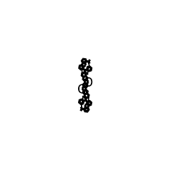 CC(C)c1cccc2c1oc1c(N(c3ccccc3)c3ccc4cc5c(cc4c3)oc3cc4c(cc35)oc3cc5cc(N(c6ccccc6)c6cccc7c6oc6c(C(C)C)cccc67)ccc5cc34)cccc12